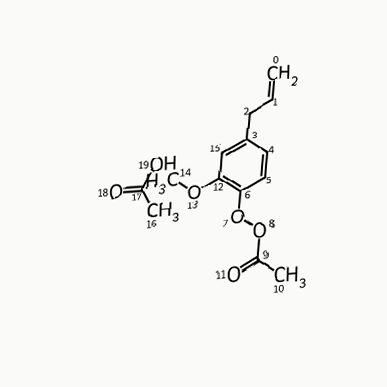 C=CCc1ccc(OOC(C)=O)c(OC)c1.CC(=O)O